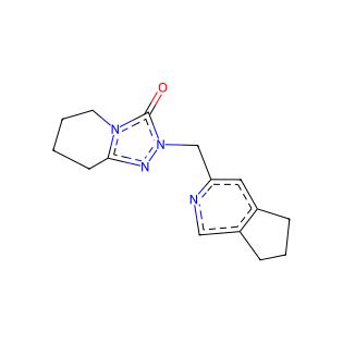 O=c1n(Cc2cc3c(cn2)CCC3)nc2n1CCCC2